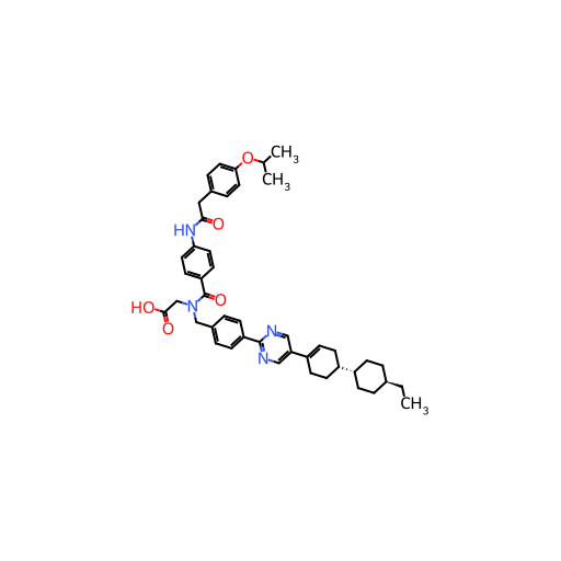 CC[C@H]1CC[C@H](C2CC=C(c3cnc(-c4ccc(CN(CC(=O)O)C(=O)c5ccc(NC(=O)Cc6ccc(OC(C)C)cc6)cc5)cc4)nc3)CC2)CC1